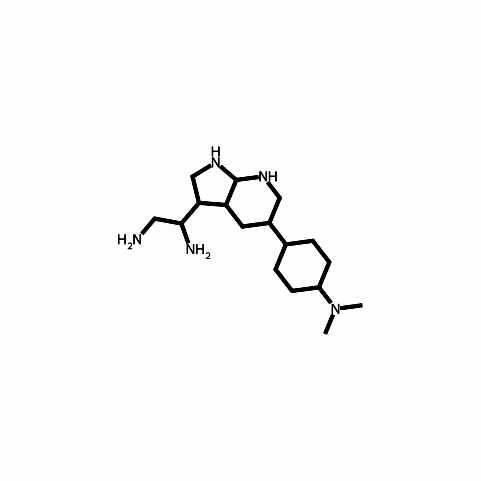 CN(C)C1CCC(C2CNC3NCC(C(N)CN)C3C2)CC1